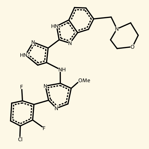 COc1cnc(-c2c(F)ccc(Cl)c2F)nc1Nc1c[nH]nc1-c1nc2cc(CN3CCOCC3)ccc2[nH]1